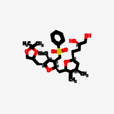 C=C1C(C[C@@H]2O[C@H](CC3COC(C)(C)O3)[C@H](OC)[C@H]2CS(=O)(=O)c2ccccc2)O[C@@H](CC[C@H](O)CO)C[C@H]1C